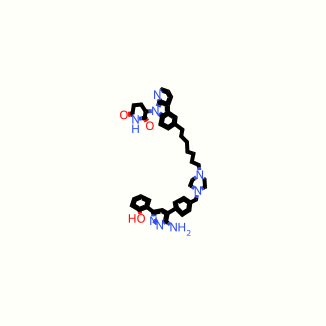 Nc1nnc(-c2ccccc2O)cc1-c1ccc(CN2CCN(CCCCCCCc3ccc4c(c3)c3cccnc3n4C3CCC(=O)NC3=O)CC2)cc1